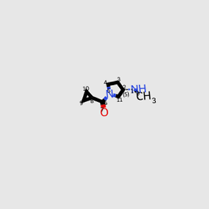 CN[C@H]1CCN(C(=O)C2CC2)C1